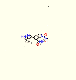 Cc1c[nH]c2ncc(-c3cc4c(c(C5COCCN5)c3)CN(C(=O)N3CCOCC3)CC4)cc12